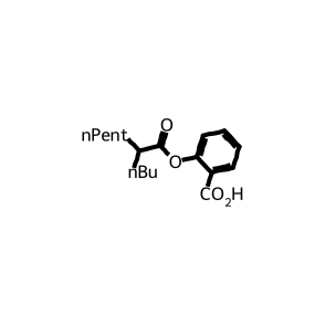 CCCCCC(CCCC)C(=O)Oc1ccccc1C(=O)O